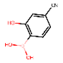 N#Cc1ccc(B(O)O)c(O)c1